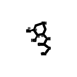 CC[C@H](C)[C@H]1CNC[C@@H](NC(=O)OC(C)(C)C)[C@@H]1O